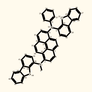 CN(c1ccc2ccc3c(N(c4ccccc4)c4cccc5c4oc4ccccc45)ccc4ccc1c2c43)c1cccc2c1sc1ccccc12